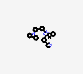 CC1(C)c2ccccc2-c2nc(-c3cccc(-c4cccc(-n5c6ccccc6c6ccccc65)c4)c3)nc(-c3cccc(-c4cccnc4)c3)c21